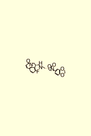 O=C1O[C@@H](CCNC[C@@H]2Cn3c(=O)ccc4ccc(F)c2c43)CN1c1ccc2c(c1)OCCO2